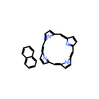 C1=Cc2cc3ccc(cc4nc(cc5ccc(cc1n2)[nH]5)C=C4)[nH]3.c1ccc2ccccc2c1